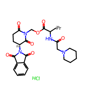 CC(C)C(NC(=O)CN1CCCCC1)C(=O)OCN1C(=O)CC[C@H](N2C(=O)c3ccccc3C2=O)C1=O.Cl